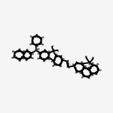 CC1(C)c2cc(/C=C/c3cc4c5c(ccc6cccc(c65)C4(C)C)c3)ccc2-c2ccc(N(c3ccccc3)c3ccc4ccccc4c3)cc21